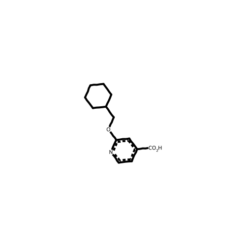 O=C(O)c1ccnc(OCC2CCCCC2)c1